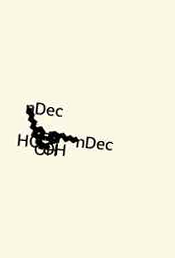 CCCCCCCCCCCCCCCc1ccc(Oc2ccc(CCCCCCCCCCCCCCC)cc2)cc1.OCC(O)CO